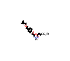 CCOC(=O)/C=C/C(=O)OC(CNC(C)C)COc1ccc(CCOCC2CC2)cc1